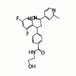 Cc1cc(/C(CC(c2ccc(C(=O)NCCO)cc2)c2ccc(F)cc2F)=N/O)ccn1